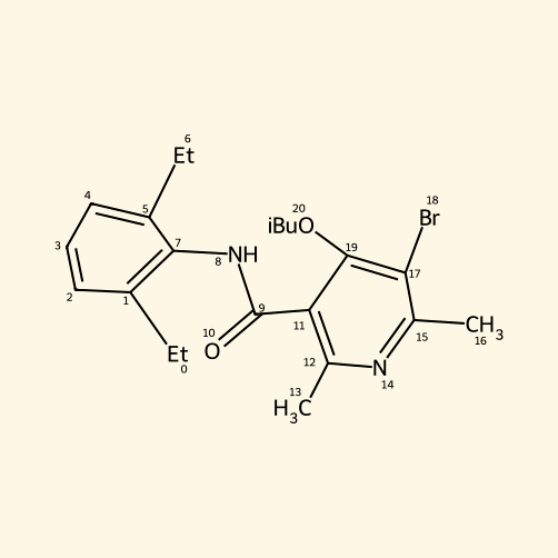 CCc1cccc(CC)c1NC(=O)c1c(C)nc(C)c(Br)c1OCC(C)C